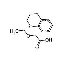 CCOCC(=O)O.c1ccc2c(c1)CCCO2